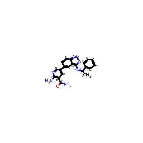 CC(Nc1ncnc2ccc(-c3cnc(N)c(C(N)=O)c3)cc12)c1ccccc1